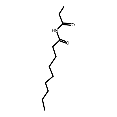 CCCCCCCCC(=O)NC(=O)CC